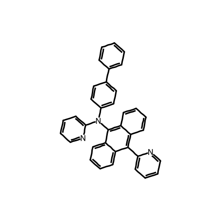 c1ccc(-c2ccc(N(c3ccccn3)c3c4ccccc4c(-c4ccccn4)c4ccccc34)cc2)cc1